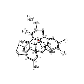 Cl.Cl.[CH2]=[Zr]([C]1=CC=CC1)([c]1ccc(CCCC)cc1)([c]1ccc(CCCC)cc1)[c]1c(C)c(C(C)(C)C)cc2c1Cc1cc(C)c(C(C)(C)C)cc1-2